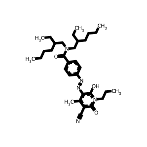 CCCCC(CC)CN(CC(CC)CCCC)C(=O)c1ccc(/N=N/c2c(C)c(C#N)c(=O)n(CCC)c2O)cc1